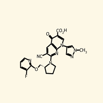 Cn1cc(-n2cc(C(=O)O)c(=O)c3cc(C#N)c(N4CCC[C@@H]4COc4ncccc4F)nc32)cn1